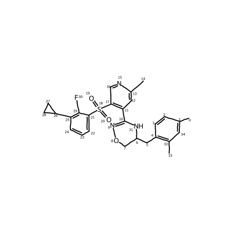 Cc1ccc(CC2CON=C(c3cc(C)ncc3S(=O)(=O)c3cccc(C4CC4)c3F)N2)c(C)c1